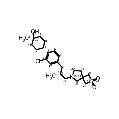 C[C@H](Cc1ccc([C@H]2CC[C@](C)(O)CC2)c(Cl)c1)CN1CCC2(C1)CS(=O)(=O)C2